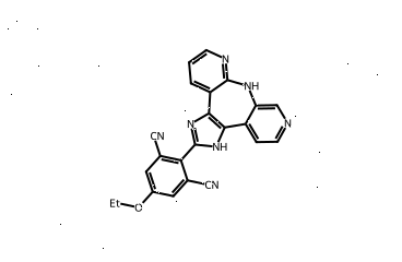 CCOc1cc(C#N)c(-c2nc3c([nH]2)-c2ccncc2Nc2ncccc2-3)c(C#N)c1